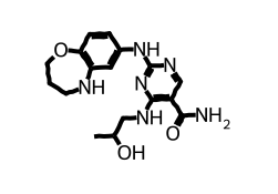 CC(O)CNc1nc(Nc2ccc3c(c2)NCCCO3)ncc1C(N)=O